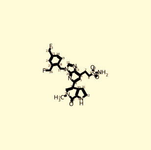 Cn1cc(-c2cc(CCS(N)(=O)=O)c3ncn(Cc4ccc(CF)cc4CF)c3n2)c2cc[nH]c2c1=O